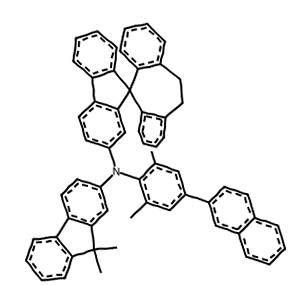 Cc1cc(-c2ccc3ccccc3c2)cc(C)c1N(c1ccc2c(c1)C(C)(C)c1ccccc1-2)c1ccc2c(c1)C1(c3ccccc3CCc3ccccc31)c1ccccc1-2